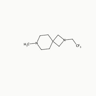 CN1CCC2(CC1)CN(CC(F)(F)F)C2